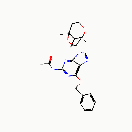 CC[C@@]12CCO[C@@H](C1C)[C@H](n1cnc3c(OCc4ccccc4)nc(NC(=O)C(C)C)nc31)O2